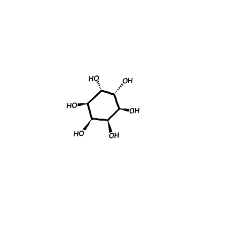 O[C@H]1[C@H](O)[C@H](O)[C@@H](O)[C@@H](O)[C@H]1O